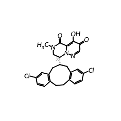 CN1C[C@@H](C2Cc3cc(Cl)ccc3CCc3ccc(Cl)cc3C2)n2ncc(=O)c(O)c2C1=O